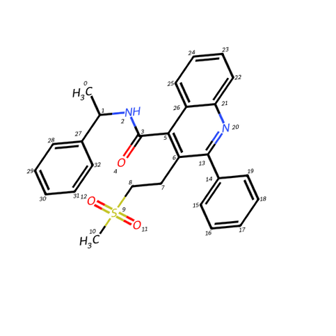 CC(NC(=O)c1c(CCS(C)(=O)=O)c(-c2ccccc2)nc2ccccc12)c1ccccc1